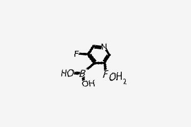 O.OB(O)c1c(F)cncc1F